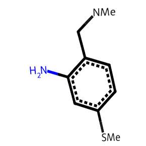 CNCc1ccc(SC)cc1N